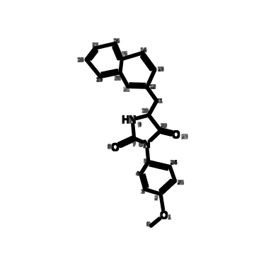 COc1ccc(N2C(=O)NC(Cc3ccc4ccccc4c3)C2=O)cc1